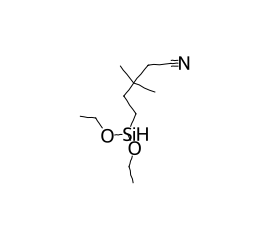 CCO[SiH](CCC(C)(C)CC#N)OCC